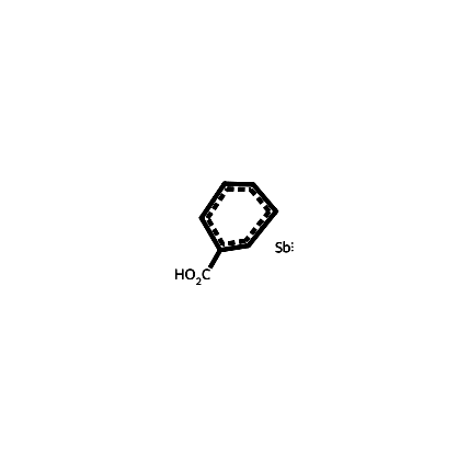 O=C(O)c1ccccc1.[Sb]